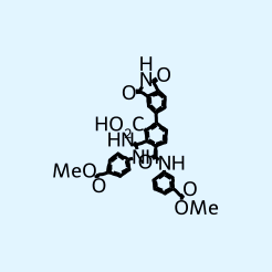 COC(=O)c1ccc(NC(=N)c2c(C(=O)Nc3cccc(C(=O)OC)c3)ccc(-c3ccc4c(c3)C(=O)NC4=O)c2C(=O)O)cc1